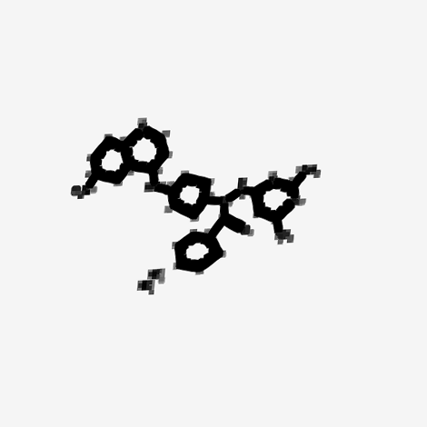 Cl.Cl.Nc1cc(NN(C(=O)c2ccccc2)c2ccc(Nc3ccnc4ccc([N+](=O)[O-])cc34)cc2)nc(N)n1